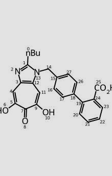 CCCCc1nc2cc(O)c(=O)c(O)cc2n1Cc1ccc(-c2ccccc2C(=O)O)cc1